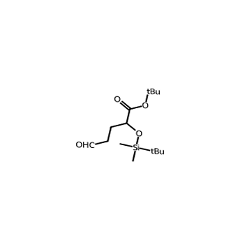 CC(C)(C)OC(=O)C(CCC=O)O[Si](C)(C)C(C)(C)C